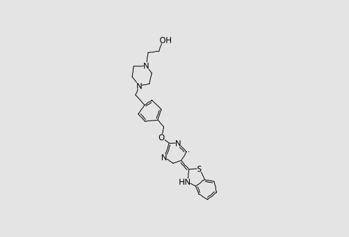 OCCN1CCN(Cc2ccc(COC3=NCC(=C4Nc5ccccc5S4)[C]=N3)cc2)CC1